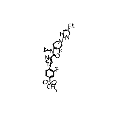 CCc1cnc(N2CC[C@@H](N(C(=O)c3cn(-c4ccc(S(C)(=O)=O)cc4F)cn3)C3CC3)[C@@H](F)C2)nc1